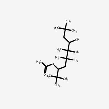 CC(=O)OC(CC(C)(C)C(C)(C)C(O)CC(C)(C)C)C(C)(C)N